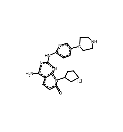 Cl.Nc1nc(Nc2ccc(N3CCNCC3)cn2)nc2c1ccc(=O)n2C1CCCC1